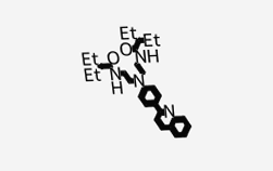 CCC(CC)C(=O)NCCN(CCNC(=O)C(CC)CC)c1ccc(-c2ccc3ccccc3n2)cc1